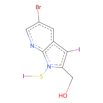 OCc1c(I)c2cc(Br)cnc2n1SI